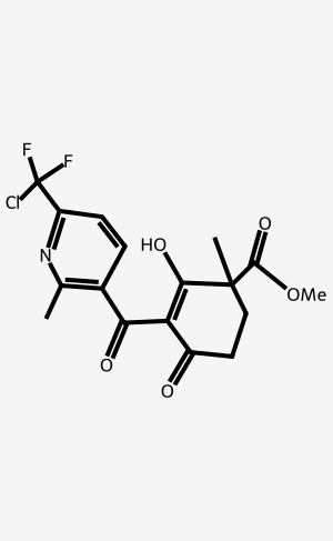 COC(=O)C1(C)CCC(=O)C(C(=O)c2ccc(C(F)(F)Cl)nc2C)=C1O